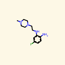 CN1CCN(CCNc2cc(F)ccc2N)CC1